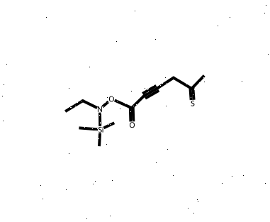 CCN(OC(=O)C#CCC(C)=S)[Si](C)(C)C